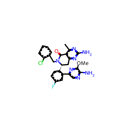 COc1nc(-c2cc(F)ccc2[C@H]2Cc3nc(N)nc(C)c3C(=O)N2Cc2ccccc2Cl)cnc1N